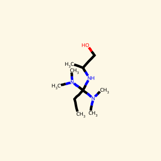 CCC(NC(C)CO)(N(C)C)N(C)C